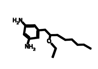 CCCCCCC(Cc1cc(N)cc(N)c1)OCC